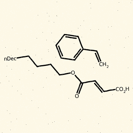 C=Cc1ccccc1.CCCCCCCCCCCCCCOC(=O)C=CC(=O)O